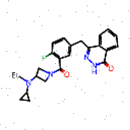 CCN(C1CC1)C1CN(C(=O)c2cc(Cc3n[nH]c(=O)c4ccccc34)ccc2F)C1